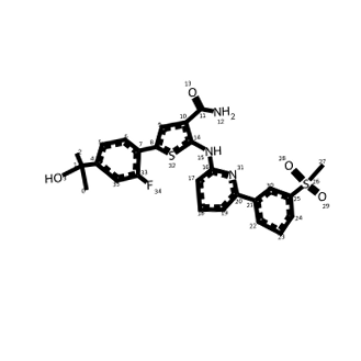 CC(C)(O)c1ccc(-c2cc(C(N)=O)c(Nc3cccc(-c4cccc(S(C)(=O)=O)c4)n3)s2)c(F)c1